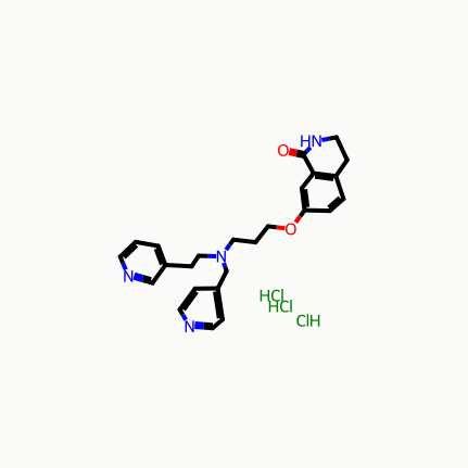 Cl.Cl.Cl.O=C1NCCc2ccc(OCCCN(CCc3cccnc3)Cc3ccncc3)cc21